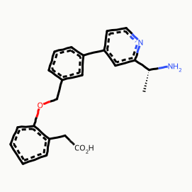 C[C@@H](N)c1cc(-c2cccc(COc3ccccc3CC(=O)O)c2)ccn1